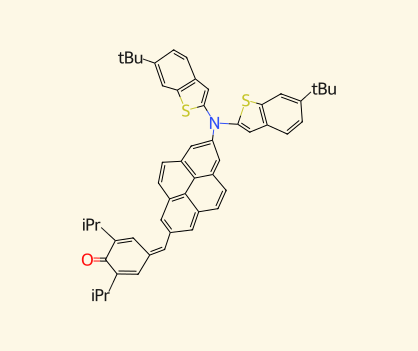 CC(C)C1=CC(=Cc2cc3ccc4cc(N(c5cc6ccc(C(C)(C)C)cc6s5)c5cc6ccc(C(C)(C)C)cc6s5)cc5ccc(c2)c3c45)C=C(C(C)C)C1=O